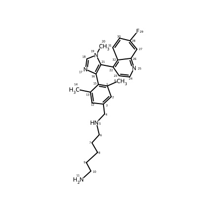 Cc1cc(CNCCCCCN)cc(C)c1-c1ncn(C)c1-c1ccnc2cc(F)ccc12